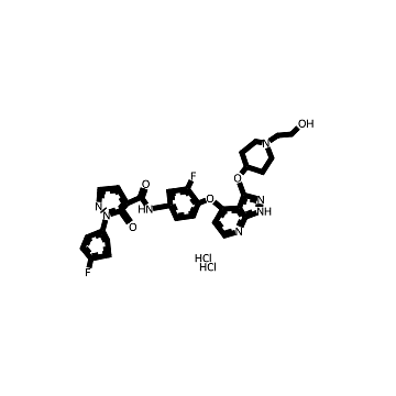 Cl.Cl.O=C(Nc1ccc(Oc2ccnc3[nH]nc(OC4CCN(CCO)CC4)c23)c(F)c1)c1ccnn(-c2ccc(F)cc2)c1=O